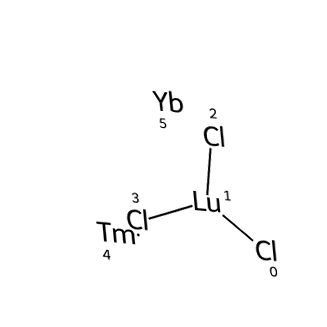 [Cl][Lu]([Cl])[Cl].[Tm].[Yb]